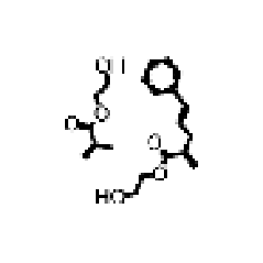 C=C(C)C(=O)OCCO.C=C(CC=Cc1ccccc1)C(=O)OCCO